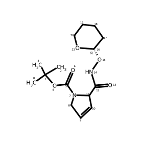 CC(C)(C)OC(=O)N1CC=CC1C(=O)NO[C@H]1CCCCO1